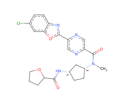 CN(C(=O)c1cnc(-c2nc3ccc(Cl)cc3o2)cn1)[C@@H]1CC[C@H](NC(=O)C2CCCO2)C1